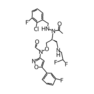 CC(=O)N(NCc1cccc(F)c1Cl)[C@@H](CNCC(F)F)CON(C=O)c1cc(-c2cccc(F)c2)on1